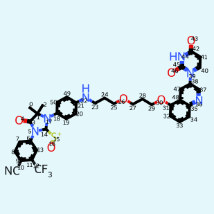 CC1(C)C(=O)N(c2ccc(C#N)c(C(F)(F)F)c2)C([S+]=O)N1c1ccc(NCCCOCCCOc2cccc3ncc(-n4ccc(=O)[nH]c4=O)cc23)cc1